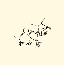 CC1=C(C)[C](C)([Zr][C]2(C)[As]=[As]C(C)=C2C)[As]=[As]1.Cl.Cl